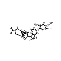 CCC(=O)N1Cc2nc(-c3n[nH]c4cc(-c5cc(F)c(O)cc5CC)ccc34)[nH]c2C1